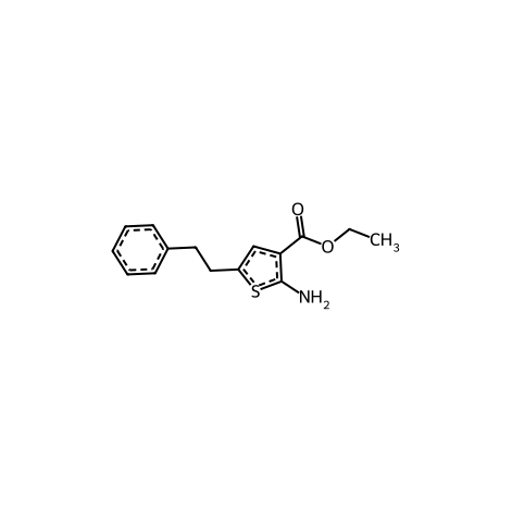 CCOC(=O)c1cc(CCc2ccccc2)sc1N